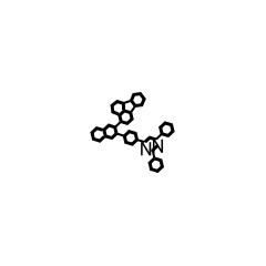 c1ccc(-c2cc(-c3ccc(-c4cc5ccccc5cc4-c4ccc5c6c(cccc46)-c4ccccc4-5)cc3)nc(-c3ccccc3)n2)cc1